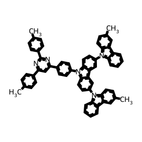 Cc1ccc(-c2cc(-c3ccc(-n4c5ccc(-n6c7ccccc7c7cc(C)ccc76)cc5c5cc(-n6c7ccccc7c7cc(C)ccc76)ccc54)cc3)nc(-c3ccc(C)cc3)n2)cc1